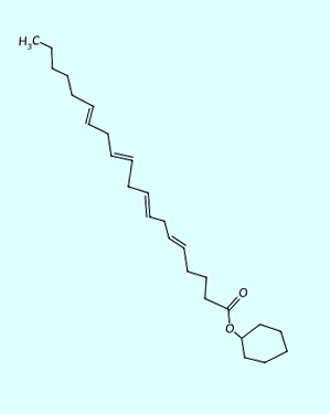 CCCCCC=CCC=CCC=CCC=CCCCC(=O)OC1CCCCC1